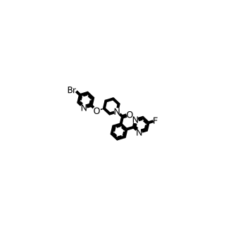 O=C(c1ccccc1-c1ncc(F)cn1)N1CCC[C@@H](Oc2ccc(Br)cn2)C1